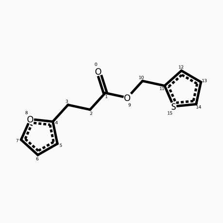 O=C(CCc1ccco1)OCc1cccs1